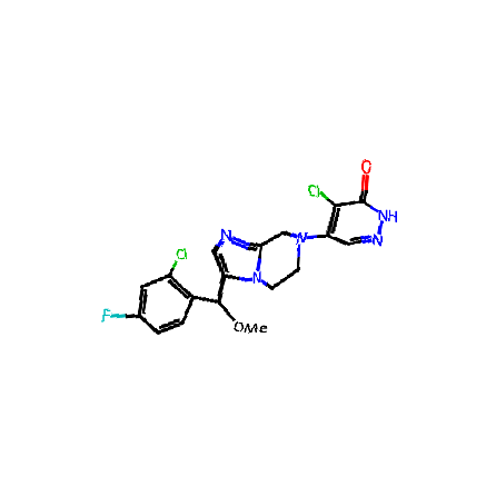 COC(c1ccc(F)cc1Cl)c1cnc2n1CCN(c1cn[nH]c(=O)c1Cl)C2